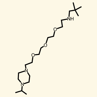 CC(C)N1CCN(CCOCCOCCOCCNCC(C)(C)C)CC1